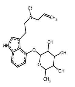 C=CCN(CC)CCc1c[nH]c2cccc(OC3OC(C)C(O)C(O)C3O)c12